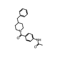 CC(=O)Nc1ccc(C(=O)N2CCC(Cc3ccccc3)CC2)cc1